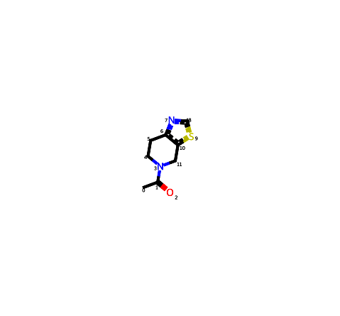 CC(=O)N1CCc2n[c]sc2C1